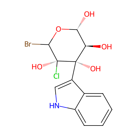 O[C@@H]1[C@@H](O)OC(Br)[C@](O)(Cl)[C@]1(O)c1c[nH]c2ccccc12